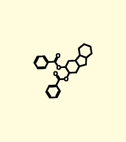 O=C(OC1CC2CC3CCCCC3C2CC1OC(=O)c1ccccc1)c1ccccc1